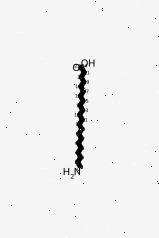 NCCCCCCCCCCCCCCCCCCCCCC(=O)O